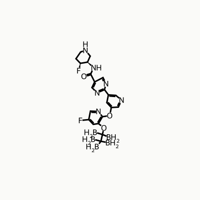 BC(B)(B)C(B)(B)Oc1cc(F)cnc1Oc1cncc(-c2ncc(C(=O)N[C@@H]3CNCC[C@@H]3F)cn2)c1